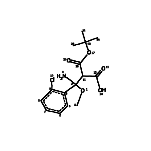 COC(N)(c1ccccc1Cl)C(C(=O)O)C(=O)OC(C)(C)C